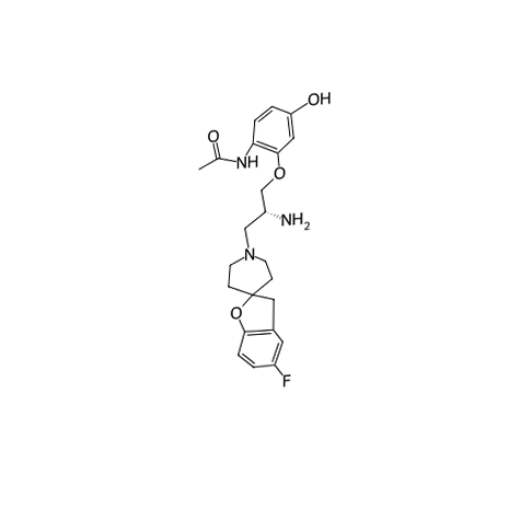 CC(=O)Nc1ccc(O)cc1OC[C@H](N)CN1CCC2(CC1)Cc1cc(F)ccc1O2